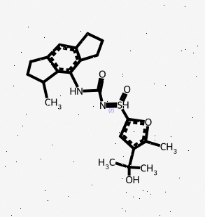 Cc1oc(/[SH](=O)=N/C(=O)Nc2c3c(cc4c2C(C)CC4)CCC3)cc1C(C)(C)O